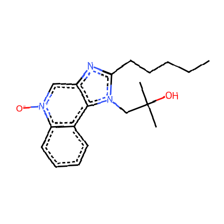 CCCCCc1nc2c[n+]([O-])c3ccccc3c2n1CC(C)(C)O